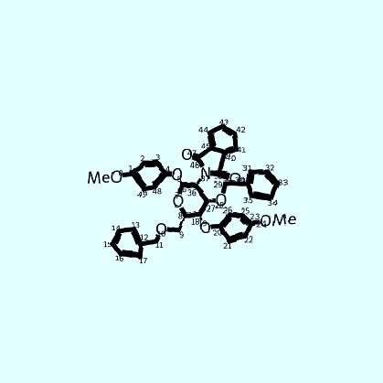 COc1ccc(O[C@H]2O[C@H](COCc3ccccc3)[C@@H](Oc3ccc(OC)cc3)[C@H](OCc3ccccc3)[C@@H]2N2C(=O)c3ccccc3C2=O)cc1